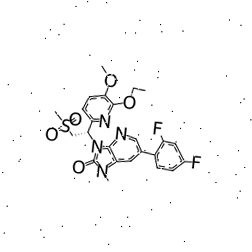 CCOc1nc([C@@H](CS(C)(=O)=O)n2c(=O)n(C)c3cc(-c4ccc(F)cc4F)cnc32)ccc1OC